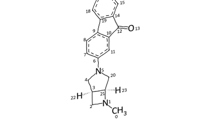 CN1C[C@H]2CN(c3ccc4c(c3)C(=O)c3ccccc3-4)C[C@H]21